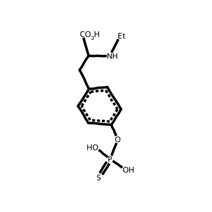 CCNC(Cc1ccc(OP(O)(O)=S)cc1)C(=O)O